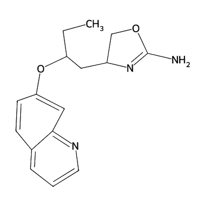 CCC(CC1COC(N)=N1)Oc1ccc2cccnc2c1